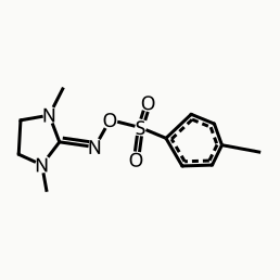 Cc1ccc(S(=O)(=O)ON=C2N(C)CCN2C)cc1